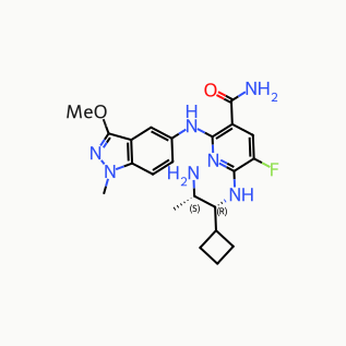 COc1nn(C)c2ccc(Nc3nc(N[C@H](C4CCC4)[C@H](C)N)c(F)cc3C(N)=O)cc12